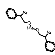 BrC(COBOCC(Br)c1ccccc1)c1ccccc1